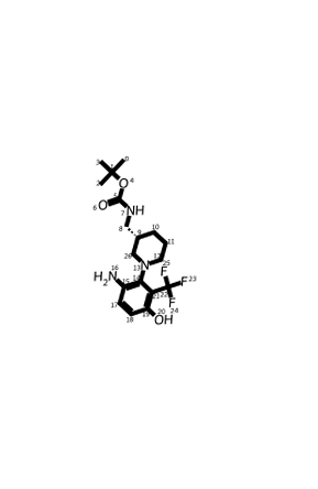 CC(C)(C)OC(=O)NC[C@@H]1CCCN(c2c(N)ccc(O)c2C(F)(F)F)C1